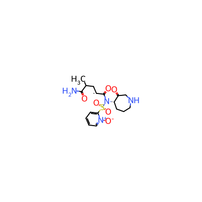 CC(C[CH]C(=O)N([C@H]1CCCNCC1=O)S(=O)(=O)c1cccc[n+]1[O-])C(N)=O